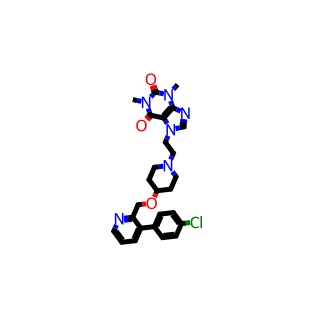 Cn1c(=O)c2c(ncn2CCN2CCC(OCc3ncccc3-c3ccc(Cl)cc3)CC2)n(C)c1=O